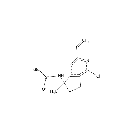 C=Cc1cc2c(c(Cl)n1)CCC2(C)N[S+]([O-])C(C)(C)C